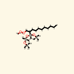 CCCCCCCCCC(COOC)[Si](C)(O[Si](C)(C)C)O[Si](C)(C)O[Si](C)(C)C